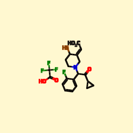 O=C(O)/C=C1/CN(C(C(=O)C2CC2)c2ccccc2F)CCC1S.O=C(O)C(F)(F)F